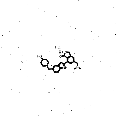 CN(C)Cc1cc2c(c(-c3cc4cc(CN5CCC(O)CC5)ccc4[nH]3)c1)C(=O)NC2.Cl.Cl